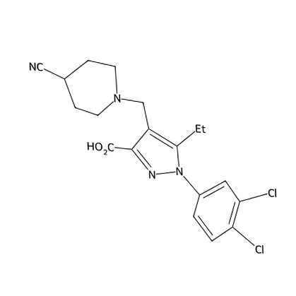 CCc1c(CN2CCC(C#N)CC2)c(C(=O)O)nn1-c1ccc(Cl)c(Cl)c1